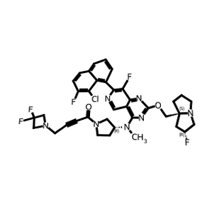 CN(c1nc(OC[C@@]23CCCN2C[C@H](F)C3)nc2c(F)c(-c3cccc4ccc(F)c(Cl)c34)ncc12)[C@@H]1CCN(C(=O)C#CCN2CC(F)(F)C2)C1